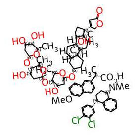 CN[C@H]1CC[C@@H](c2ccc(Cl)c(Cl)c2)c2ccccc21.COc1ccc2cc([C@H](C)C(=O)O)ccc2c1.C[C@H]1O[C@@H](O[C@H]2[C@@H](O)C[C@H](O[C@H]3[C@@H](O)C[C@H](O[C@H]4CC[C@@]5(C)[C@H](CC[C@@H]6[C@@H]5CC[C@]5(C)[C@@H](C7=CC(=O)OC7)CC[C@]65O)C4)O[C@@H]3C)O[C@@H]2C)C[C@H](O)[C@@H]1O